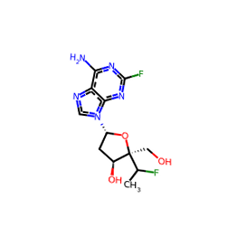 CC(F)[C@]1(CO)O[C@@H](n2cnc3c(N)nc(F)nc32)C[C@@H]1O